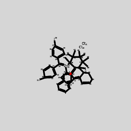 CC12C(=C3Cc4ccccc4C3=C3C=CCCC31)[C](C)([Zr+2]([C]1=CC=CC1)=[C](c1ccc(I)cc1)c1ccc(I)cc1)C(C)(C)C(C)(C)C2(C)C.[Cl-].[Cl-]